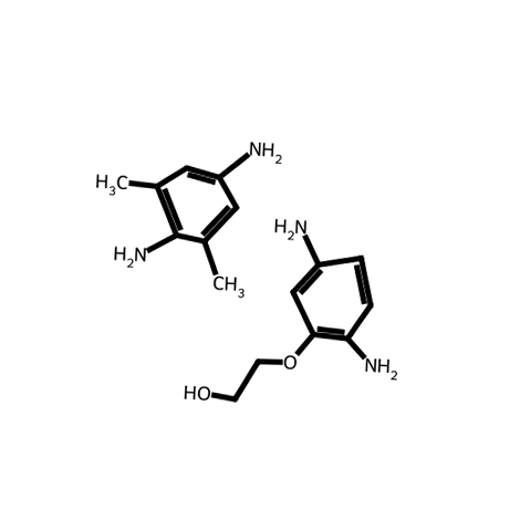 Cc1cc(N)cc(C)c1N.Nc1ccc(N)c(OCCO)c1